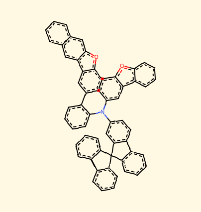 c1ccc(N(c2ccc3c(c2)C2(c4ccccc4-c4ccccc42)c2ccccc2-3)c2ccc3oc4ccccc4c3c2)c(-c2ccc3oc4cc5ccccc5cc4c3c2)c1